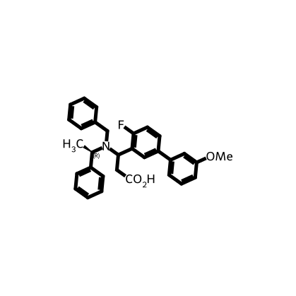 COc1cccc(-c2ccc(F)c(C(CC(=O)O)N(Cc3ccccc3)[C@H](C)c3ccccc3)c2)c1